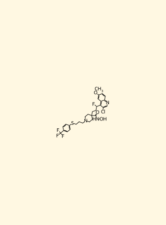 COc1ccc2ncc(Cl)c([C@H](F)CCC3(C(=O)NO)CCN(CCCSc4ccc(C(F)(F)F)cc4)CC3)c2c1